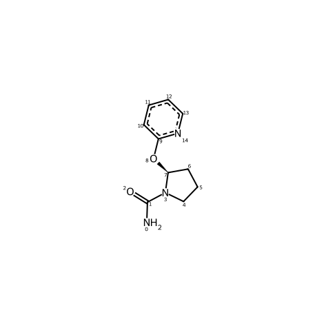 NC(=O)N1CCC[C@@H]1Oc1ccccn1